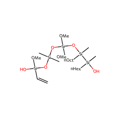 C=C[Si](O)(OC)O[Si](C)(C)O[Si](OC)(OC)O[Si](C)(CCCCCCCC)[Si](C)(O)CCCCCC